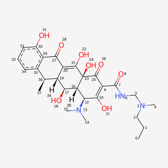 CCCN(C)CNC(=O)C1=C(O)[C@@H](N(C)C)[C@@H]2[C@@H](O)[C@H]3C(=C(O)[C@]2(O)C1=O)C(=O)c1c(O)cccc1[C@@H]3C